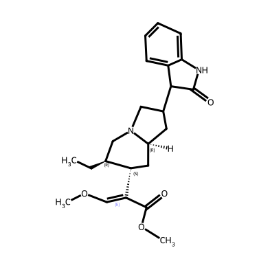 CC[C@H]1CN2CC(C3C(=O)Nc4ccccc43)C[C@H]2C[C@@H]1/C(=C\OC)C(=O)OC